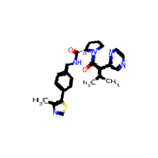 Cc1ncsc1-c1ccc(CNC(=O)[C@@H]2CCCN2C(=O)C(c2cnccn2)C(C)C)cc1